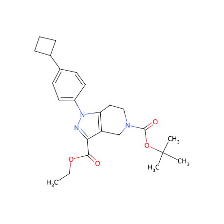 CCOC(=O)c1nn(-c2ccc(C3CCC3)cc2)c2c1CN(C(=O)OC(C)(C)C)CC2